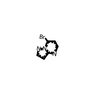 Brc1ccnc2ccnn12